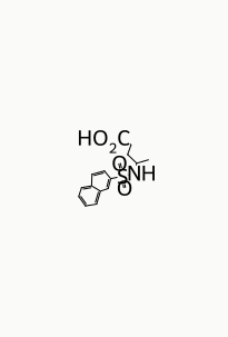 CC(CCC(=O)O)NS(=O)(=O)c1ccc2ccccc2c1